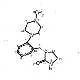 CN1CCN(c2ccccc2C[C@@H]2CCNC2=O)CC1